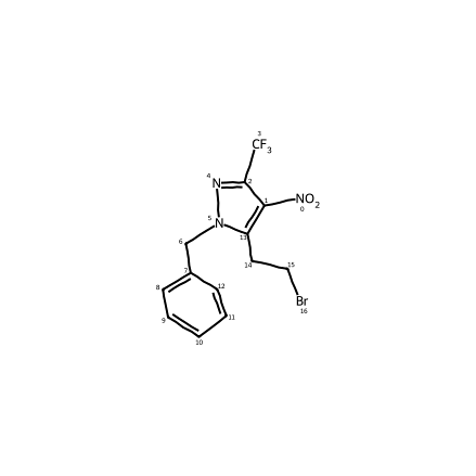 O=[N+]([O-])c1c(C(F)(F)F)nn(Cc2ccccc2)c1CCBr